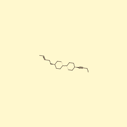 C/C=C/CC[C@H]1CC[C@H]([C@H]2CC[C@H](C#CCC)CC2)CC1